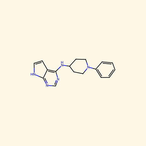 c1ccc(N2CCC(Nc3ncnc4[nH]ccc34)CC2)cc1